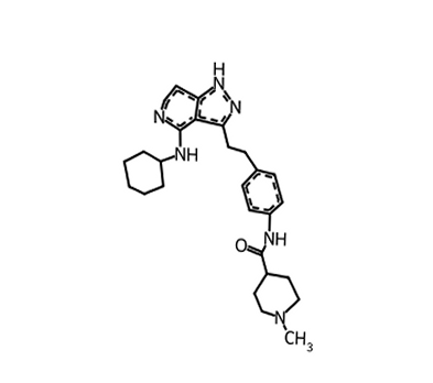 CN1CCC(C(=O)Nc2ccc(CCc3n[nH]c4ccnc(NC5CCCCC5)c34)cc2)CC1